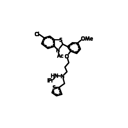 COc1ccc(OCCCN(Cc2cccs2)NC(C)C)c(C2Sc3cc(Cl)ccc3N2C(C)=O)c1